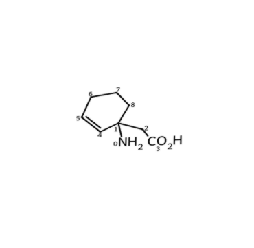 NC1(CC(=O)O)C=CCCC1